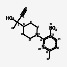 C#CC(C)(O)C1CCN(c2nc(C)ccc2[N+](=O)[O-])CC1